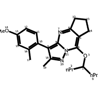 CCCC(CCC)Oc1c2c(nc3c(-c4ccc(OC)cc4C)c(C)nn13)CCC2